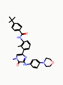 Cc1c(NC(=O)c2ccc(C(C)(C)C)cc2)cccc1-c1cn(C)c(=O)c(Nc2ccc(N3CCOCC3)cc2)n1